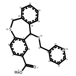 COC(=O)c1ccc2c(c1)C(SCc1cccnc1)c1ccccc1CS2